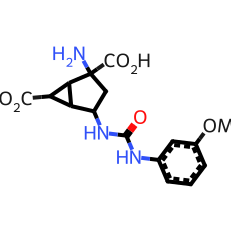 COc1cccc(NC(=O)NC2CC(N)(C(=O)O)C3C(C(=O)O)C23)c1